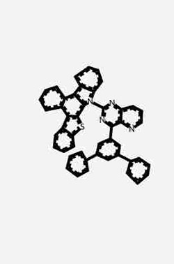 c1ccc(-c2cc(-c3ccccc3)cc(-c3nc(-n4c5ccccc5c5c6ccccc6c6c7ccccc7sc6c54)nc4cccnc34)c2)cc1